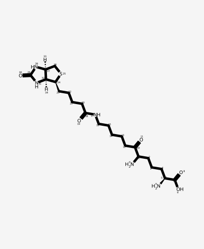 NC(CCC[C@H](N)C(=O)O)C(=O)CCCCCNC(=O)CCCC[C@@H]1SC[C@@H]2NC(=O)N[C@@H]21